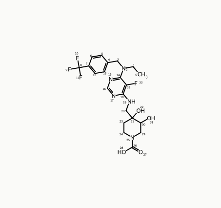 CCN(Cc1ccc(C(F)(F)F)cc1)c1ncnc(NCC2(O)CCN(C(=O)O)CC2O)c1F